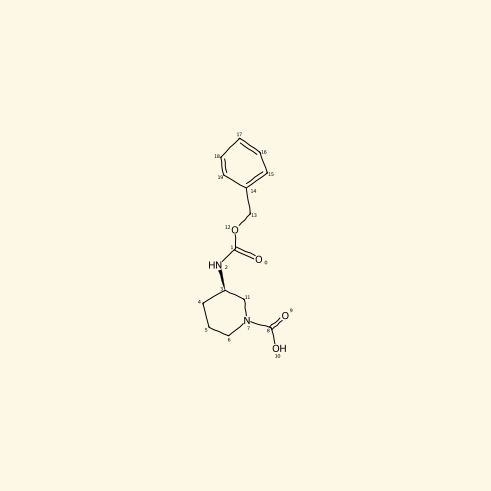 O=C(N[C@@H]1CCCN(C(=O)O)C1)OCc1ccccc1